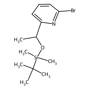 CC(O[Si](C)(C)C(C)(C)C)c1cccc(Br)n1